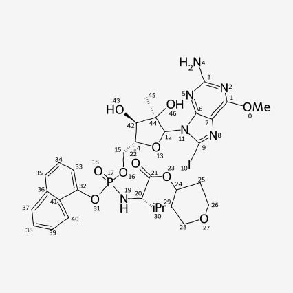 COc1nc(N)nc2c1nc(I)n2C1O[C@H](COP(=O)(N[C@H](C(=O)OC2CCOCC2)C(C)C)Oc2cccc3ccccc23)[C@@H](O)[C@@]1(C)O